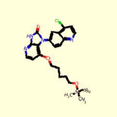 CC(C)(C)[Si](C)(C)OCCCCCOc1ccnc2[nH]c(=O)n(-c3ccc4nccc(Cl)c4c3)c12